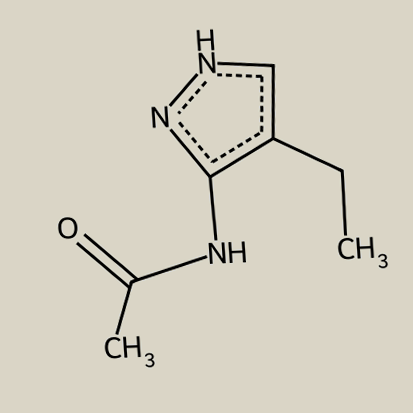 CCc1c[nH]nc1NC(C)=O